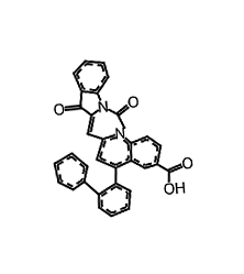 CC(=O)N1/C(=C\c2cc(-c3ccccc3-c3ccccc3)c3cc(C(=O)O)ccc3n2)C(=O)c2ccccc21